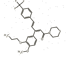 CCCOc1cc(C(=C\C(=O)N2CCSCC2)/C=C/c2ccc(C(F)(F)F)cc2)ccc1OC